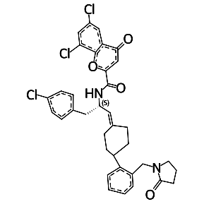 O=C(N[C@H](C=C1CCC(c2ccccc2CN2CCCC2=O)CC1)Cc1ccc(Cl)cc1)c1cc(=O)c2cc(Cl)cc(Cl)c2o1